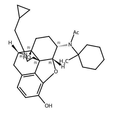 CC(=O)N([C@H]1CC[C@@]2(O)[C@H]3Cc4ccc(O)c5c4[C@@]2(CCN3CC2CC2)[C@H]1O5)C1(C)CCCCC1